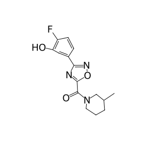 CC1CCCN(C(=O)c2nc(-c3ccc(F)c(O)c3)no2)C1